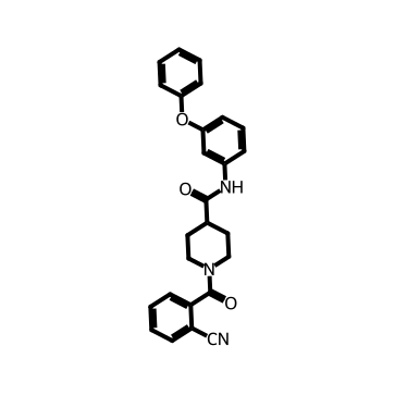 N#Cc1ccccc1C(=O)N1CCC(C(=O)Nc2cccc(Oc3ccccc3)c2)CC1